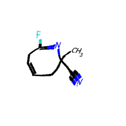 CC1(C#N)CC=CC(F)=N1